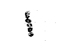 CC(C)(O)CC1CC(c2ccc(N3CCN(c4ccc(B5OC(C)(C)C(C)(C)O5)cc4)CC3)cc2)C[S+]1[O-]